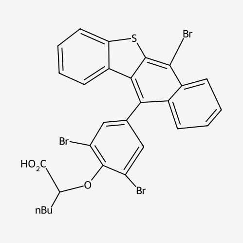 CCCCC(Oc1c(Br)cc(-c2c3ccccc3c(Br)c3sc4ccccc4c23)cc1Br)C(=O)O